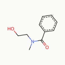 CN(CCO)C(=O)c1cc[c]cc1